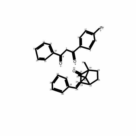 CC(C)c1ccc(C(=O)CC(=O)c2ccccc2)cc1.CC12CCC(C(=Cc3ccccc3)C1=O)C2(C)C